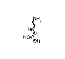 NCCNOP(O)O